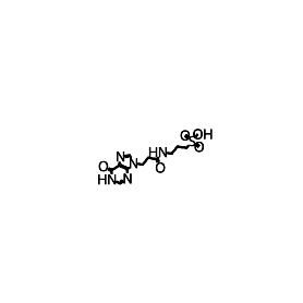 O=C(CCn1cnc2c(=O)[nH]cnc21)NCCCS(=O)(=O)O